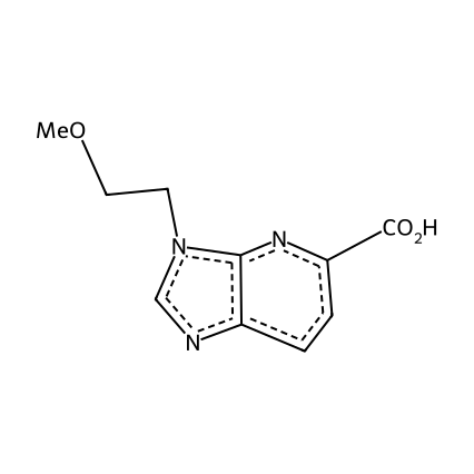 COCCn1cnc2ccc(C(=O)O)nc21